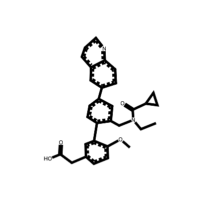 CCN(Cc1cc(-c2ccc3ncccc3c2)ccc1-c1cc(CC(=O)O)ccc1OC)C(=O)C1CC1